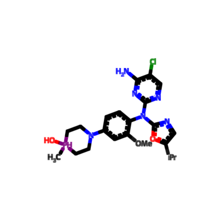 COc1cc(N2CC[PH](C)(O)CC2)ccc1N(c1ncc(Cl)c(N)n1)c1ncc(C(C)C)o1